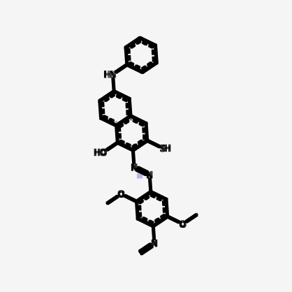 C=Nc1cc(OC)c(/N=N/c2c(S)cc3cc(Nc4ccccc4)ccc3c2O)cc1OC